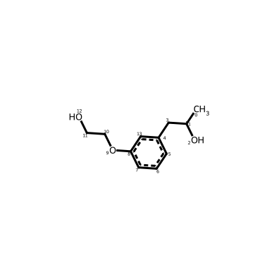 C[C](O)Cc1cccc(OCCO)c1